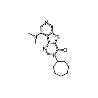 CN(C)c1cncc2sc3c(=O)n(C4CCCCCC4)cnc3c12